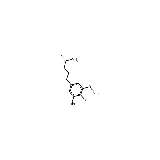 CC(C)c1cc(CCC[C@H](C)N)cc(OC(F)(F)F)c1F